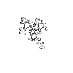 COc1ccc(Cl)c(Oc2c(NS(=O)(=O)c3ccc(OC)c(OC)c3)ncnc2OCCO)c1